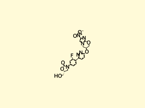 O=C1O[C@@H](CO)CN1c1ccc(-c2ccc(O[C@@H]3COc4nc([N+](=O)[O-])cn4C3)nn2)c(F)c1